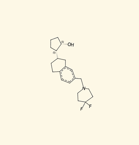 O[C@H]1CCC[C@H]1C1CCc2ccc(CN3CCC(F)(F)CC3)cc2C1